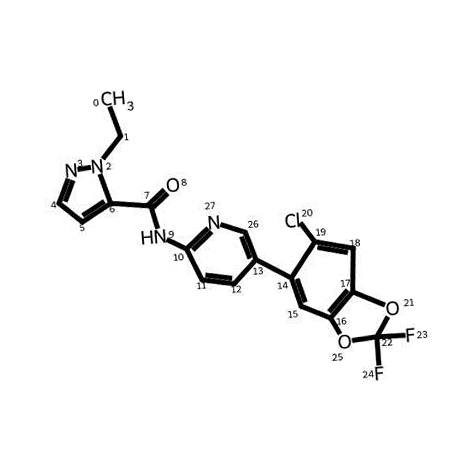 CCn1nccc1C(=O)Nc1ccc(-c2cc3c(cc2Cl)OC(F)(F)O3)cn1